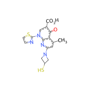 Cc1cc(N2CC(S)C2)nc2c1c(=O)c(C(=O)O)cn2-c1nccs1